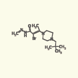 C=NNC(=O)/C(Br)=C(\C)N1CCN(CC(C)(C)C)CC1